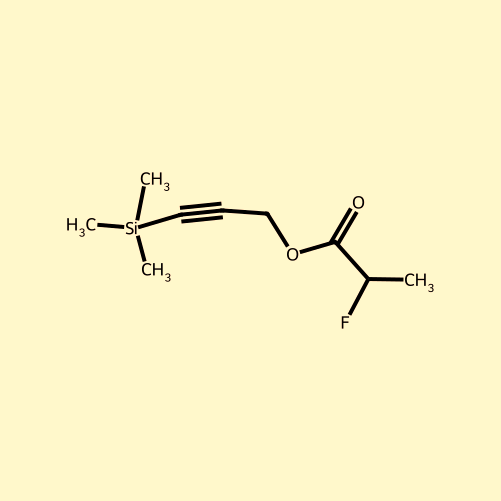 CC(F)C(=O)OCC#C[Si](C)(C)C